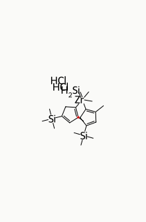 CC1=[C]([Zr]([CH3])([CH3])(=[SiH2])[C]2=C(C)C=C([Si](C)(C)C)C2)CC([Si](C)(C)C)=C1.Cl.Cl